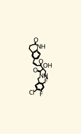 CCC[C@@](O)(C(=O)/C=C\c1ccc2c(c1)CCC(=O)N2)C(=O)NCc1cc(Cl)c(F)cc1F